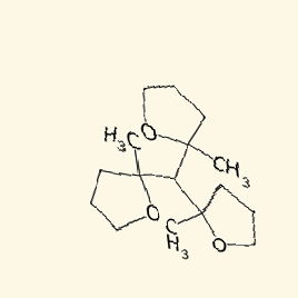 CC1(C(C2(C)CCCO2)C2(C)CCCO2)CCCO1